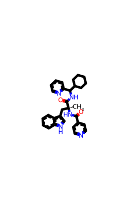 C[C@@](Cc1c[nH]c2ccccc12)(NC(=O)c1ccncc1)C(=O)NC(c1ccccn1)C1CCCCC1